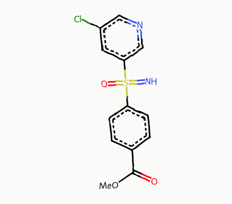 COC(=O)c1ccc(S(=N)(=O)c2cncc(Cl)c2)cc1